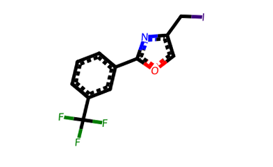 FC(F)(F)c1cccc(-c2nc(CI)co2)c1